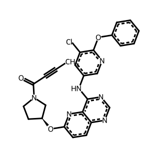 CC#CC(=O)N1CC[C@H](Oc2ccc3ncnc(Nc4cnc(Oc5ccccc5)c(Cl)c4)c3n2)C1